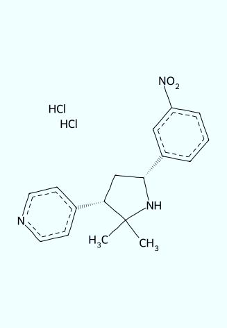 CC1(C)N[C@@H](c2cccc([N+](=O)[O-])c2)C[C@H]1c1ccncc1.Cl.Cl